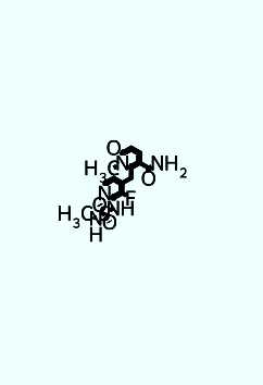 CNS(=O)(=O)Nc1nccc(Cc2c(C(N)=O)ccc(=O)n2C)c1F